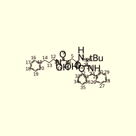 CC(C)(C)[C@H](NC(=O)C[C@H](O)C(=O)N(O)CCCc1ccccc1)C(=O)NC(c1ccccc1)c1ccccc1